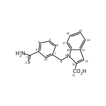 NC(=S)c1cccc(Cn2c(C(=O)O)cc3ccccc32)c1